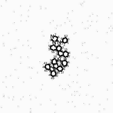 c1ccc(N(c2ccncn2)c2cc3c4ccccc4c(N(c4ccccc4)c4cccc5c4-c4ccccc4C54c5ccccc5-c5ccccc54)cc3c3ccccc23)cc1